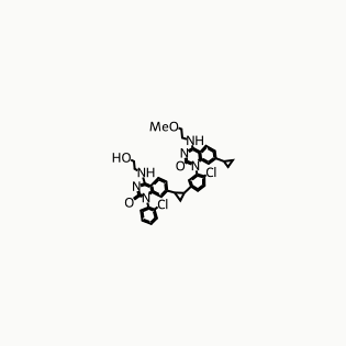 COCCNc1nc(=O)n(-c2cc(C3CC3c3ccc4c(NCCO)nc(=O)n(-c5ccccc5Cl)c4c3)ccc2Cl)c2cc(C3CC3)ccc12